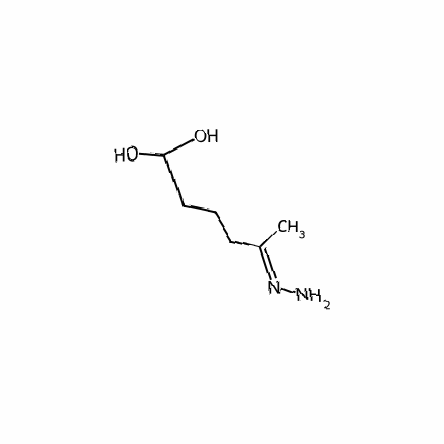 C/C(CCCC(O)O)=N\N